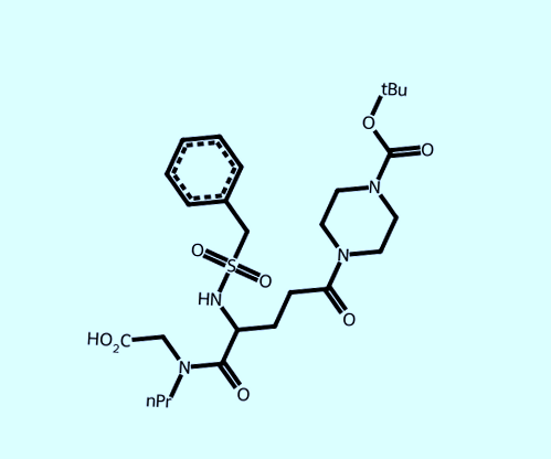 CCCN(CC(=O)O)C(=O)C(CCC(=O)N1CCN(C(=O)OC(C)(C)C)CC1)NS(=O)(=O)Cc1ccccc1